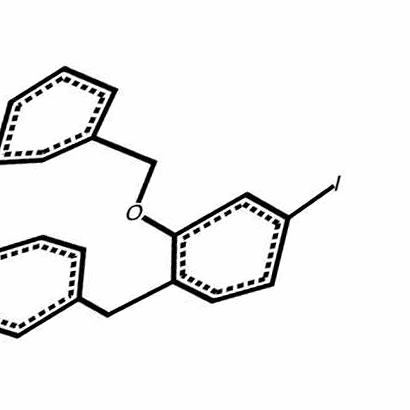 Ic1ccc(Cc2ccccc2)c(OCc2ccccc2)c1